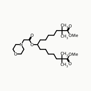 COC(=O)C(C)(C)CCCCCC(CCCCCC(C)(C)C(=O)OC)OC(=O)CN1CCOCC1